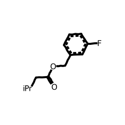 CC(C)CC(=O)OCc1cccc(F)c1